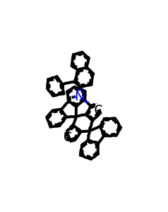 CN(c1cccc2c1C1(c3ccccc3-c3ccccc31)c1ccccc1C21c2ccccc2-c2ccccc21)c1ccc2ccccc2c1-c1ccccc1